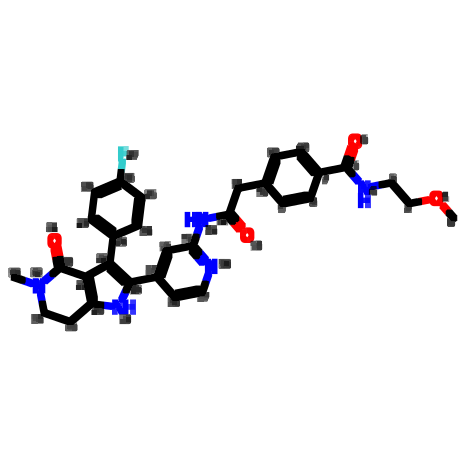 COCCNC(=O)c1ccc(CC(=O)Nc2cc(-c3[nH]c4c(c3-c3ccc(F)cc3)C(=O)N(C)CC4)ccn2)cc1